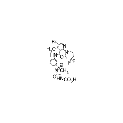 Cc1c(Br)cnc(N2CCCC(F)(F)CC2)c1C(=O)Nc1cccc(S(C)(=O)=NC(=O)CNC(=O)O)c1